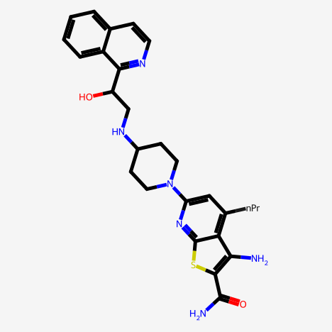 CCCc1cc(N2CCC(NCC(O)c3nccc4ccccc34)CC2)nc2sc(C(N)=O)c(N)c12